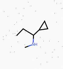 [CH2]CC(NC)C1CC1